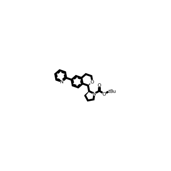 CC(C)(C)OC(=O)N1CCC[C@H]1[C@H]1OCCc2cc(-c3ccccn3)ccc21